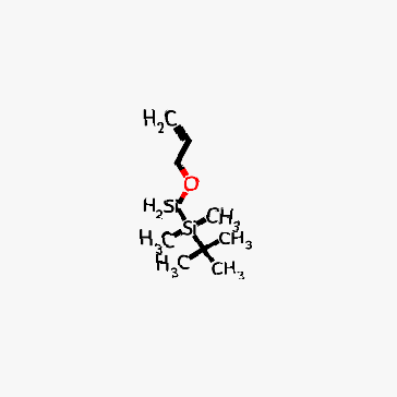 C=CCO[SiH2][Si](C)(C)C(C)(C)C